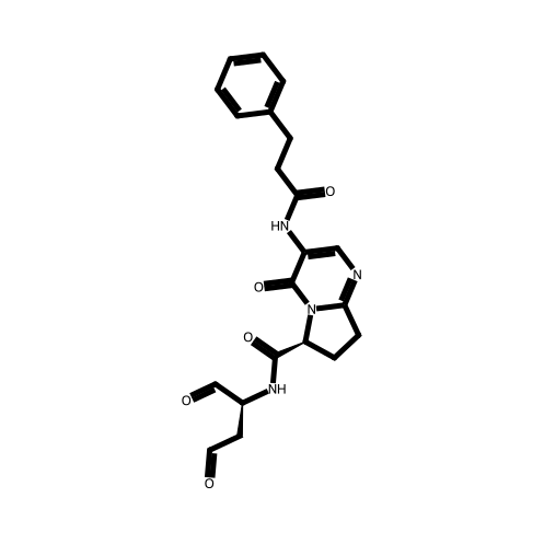 O=CC[C@@H](C=O)NC(=O)[C@@H]1CCc2ncc(NC(=O)CCc3ccccc3)c(=O)n21